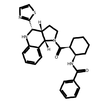 O=C(N[C@@H]1CCCC[C@@H]1C(=O)N1CC[C@H]2[C@@H](c3nccs3)Nc3ccccc3[C@H]21)c1ccccc1